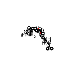 CC(NC(=O)C(N)C(C)C)C(=O)Nc1ccc2c(c1)[C@@]1(C)CCC[C@](C)(C(=O)NC(=O)[C@@]3(C)CCC[C@]4(C)c5cc(NC(=O)CNC(=O)OCC6c7ccccc7-c7ccccc76)ccc5CC[C@@H]34)[C@@H]1CC2